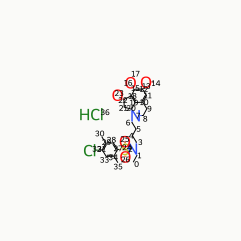 CCN(CCCCN1CCc2cc(OC)c(OC)c3c2C1CC3=O)S(=O)(=O)c1cc(C)c(Cl)cc1C.Cl